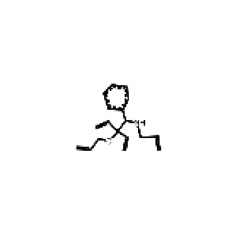 C=CCNC(c1ccccc1)C(C=C)(C=C)OCC=C